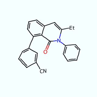 CCc1cc2cccc(-c3cccc(C#N)c3)c2c(=O)n1-c1ccccc1